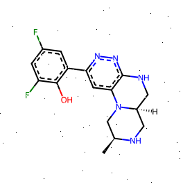 C[C@H]1CN2c3cc(-c4cc(F)cc(F)c4O)nnc3NC[C@H]2CN1